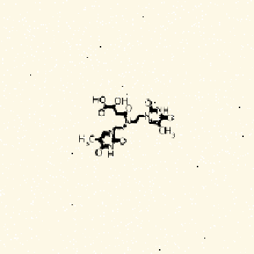 Cc1cn(CCN(CCn2cc(C)c(=O)[nH]c2=O)C(=O)CC(O)C(=O)O)c(=O)[nH]c1=O